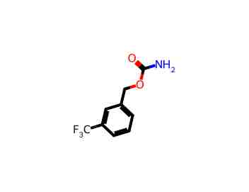 NC(=O)OCc1cccc(C(F)(F)F)c1